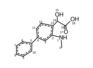 CNc1cc(-c2ccccc2)ccc1C(O)C(=O)O